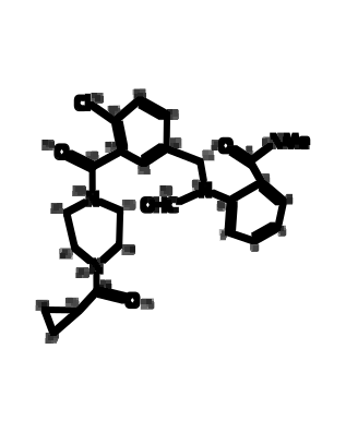 CNC(=O)c1ccccc1N(C=O)Cc1ccc(Cl)c(C(=O)N2CCN(C(=O)C3CC3)CC2)c1